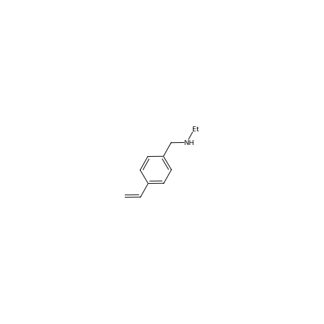 C=Cc1ccc(CNCC)cc1